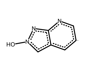 On1cc2c[c]cnc2n1